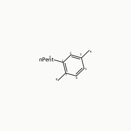 [CH2]CCCCc1cc(C)ccc1C